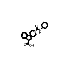 O=C(O)C1CC2(CCN(C(=O)NC3CCCCC3)CC2)c2ccccc21